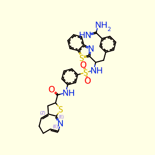 N=C(N)c1cccc(CC(NS(=O)(=O)c2cccc(NC(=O)C3CC4=C/CC/C=C/N=C\4S3)c2)c2nc3ccccc3s2)c1